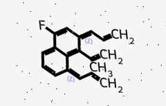 C=C/C=c1/cc(F)c2ccc/c(=C/C=C)c2c1C(=C)C